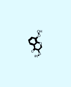 CC(C)OC1COc2c(OO)cccc2C1=O